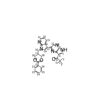 CC(C)(C)C(=O)c1c[nH]c2ncc(-c3cn(CC4COC(c5ccccc5)OC4)c4ncccc34)nc12